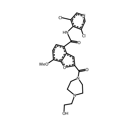 COc1ccc(C(=O)Nc2c(Cl)cncc2Cl)c2cc(C(=O)N3CCN(CCO)CC3)oc12